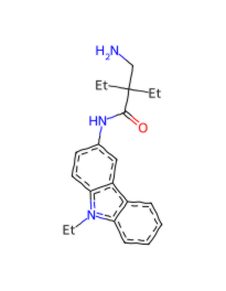 CCn1c2ccccc2c2cc(NC(=O)C(CC)(CC)CN)ccc21